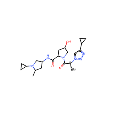 CC1CC(NC(=O)C2CC(O)CN2C(=O)[C@@H](n2cc(C3CC3)nn2)C(C)(C)C)CN1C1CC1